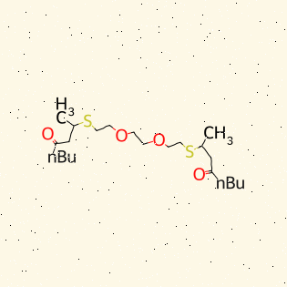 CCCCC(=O)CC(C)SCCOCCOCCSC(C)CC(=O)CCCC